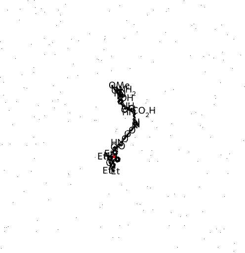 CCN(CC)c1ccc2c(-c3ccccc3C(=O)N3CCN(C(=O)CCC(=O)NCCOCCOCCOCCn4cc(CCCCC(NC(=O)CCC(=O)NCc5ccc(Cn6c(O)nc7c(N)nc(OCCOC)nc76)cc5)C(=O)O)nn4)CC3)c3ccc(=[N+](CC)CC)cc-3oc2c1